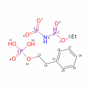 CCO[PH](=O)NP(=O)=O.O=P(O)(O)OCCc1ccccc1